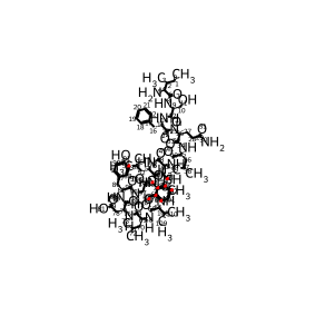 CC[C@H](C)[C@H](N)C(=O)N[C@@H](CO)C(=O)N[C@@H](Cc1ccccc1)C(=O)N[C@@H](CCC(N)=O)C(=O)N[C@@H](CC(C)C)C(=O)N[C@@H](CCSC)C(=O)N[C@@H](CC(C)C)C(=O)N[C@@H](CS)C(=O)N[C@H](C(=O)N[C@@H](CC(C)C)C(=O)N[C@@H](CC(=O)O)C(=O)N[C@@H](Cc1ccc(O)cc1)C(=O)N[C@@H](Cc1ccccc1)C(=O)O)C(C)C